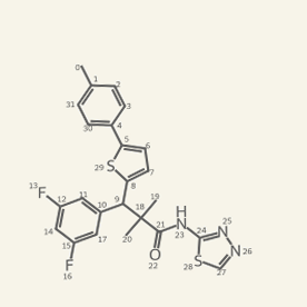 Cc1ccc(-c2ccc(C(c3cc(F)cc(F)c3)C(C)(C)C(=O)Nc3nncs3)s2)cc1